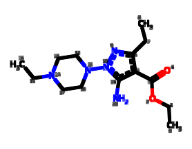 CCOC(=O)c1c(CC)nn(N2CCN(CC)CC2)c1N